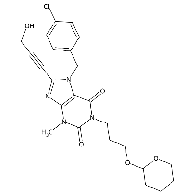 Cn1c(=O)n(CCCOC2CCCCO2)c(=O)c2c1nc(C#CCO)n2Cc1ccc(Cl)cc1